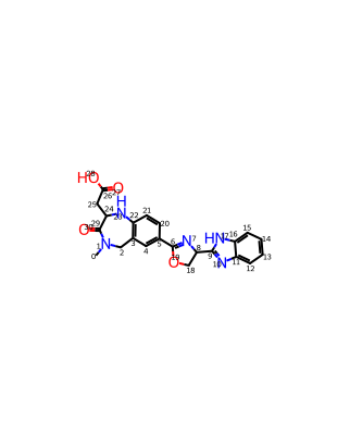 CN1Cc2cc(C3=NC(c4nc5ccccc5[nH]4)CO3)ccc2NC(CC(=O)O)C1=O